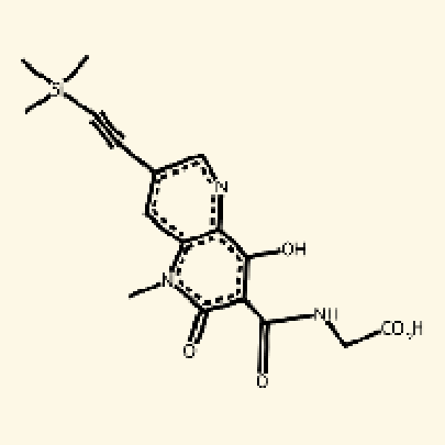 Cn1c(=O)c(C(=O)NCC(=O)O)c(O)c2ncc(C#C[Si](C)(C)C)cc21